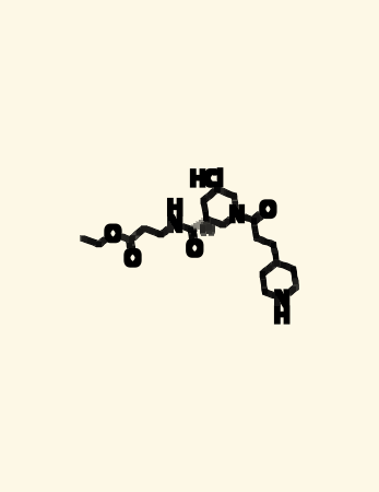 CCOC(=O)CCNC(=O)[C@@H]1CCCN(C(=O)CCC2CCNCC2)C1.Cl